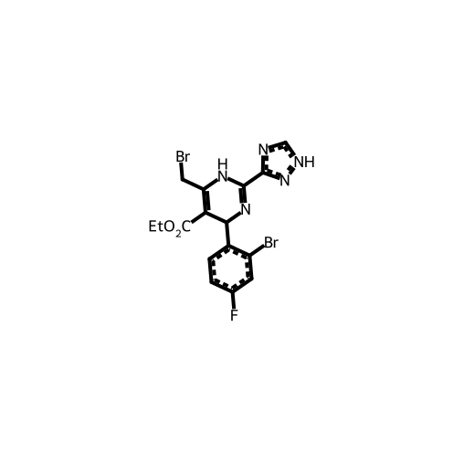 CCOC(=O)C1=C(CBr)NC(c2nc[nH]n2)=NC1c1ccc(F)cc1Br